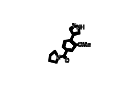 COc1cc(C(=O)N2CCCC2)ccc1-c1cn[nH]c1